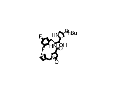 CCCCO[C@H]1CN[C@@H]([C@@H](O)[C@H](Cc2cc(F)cc(F)c2)NC(=O)C2CC(=O)N(Cc3ccsc3)C2)C1